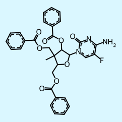 CC1(COC(=O)c2ccccc2)C(COC(=O)c2ccccc2)OC(n2cc(F)c(N)nc2=O)C1OC(=O)c1ccccc1